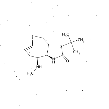 CN[C@H]1C/C=C/CCC[C@H]1NC(=O)SC(C)(C)C